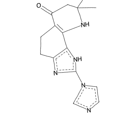 CC1(C)CC(=O)C2=C(N1)c1[nH]c(-n3ccnc3)nc1CC2